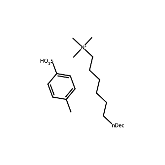 CCCCCCCCCCCCCCCC[N+](C)(C)C.Cc1ccc(S(=O)(=O)O)cc1